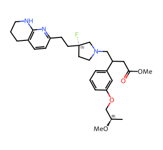 COC(=O)CC(CN1CC[C@@](F)(CCc2ccc3c(n2)NCCC3)C1)c1cccc(OC[C@@H](C)OC)c1